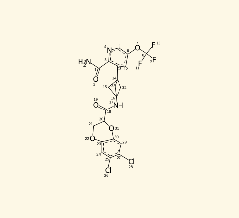 NC(=O)c1ncc(OC(F)(F)F)cc1C12CC(NC(=O)C3COc4cc(Cl)c(Cl)cc4O3)(C1)C2